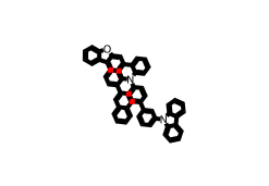 c1cc(-c2ccc(N(c3ccccc3-c3ccc4ccccc4c3)c3ccccc3-c3ccc4c(c3)oc3ccccc34)cc2)cc(-n2c3ccccc3c3ccccc32)c1